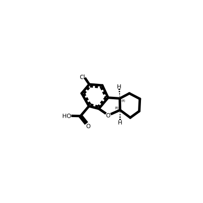 O=C(O)c1cc(Cl)cc2c1O[C@@H]1CCCC[C@H]21